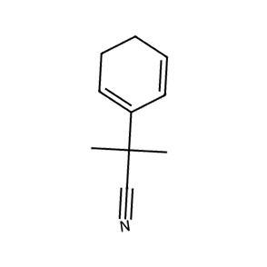 CC(C)(C#N)C1=CCCC=C1